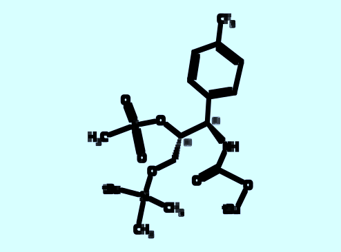 CC(C)(C)OC(=O)N[C@H](c1ccc(C(F)(F)F)cc1)[C@H](CO[Si](C)(C)C(C)(C)C)OS(C)(=O)=O